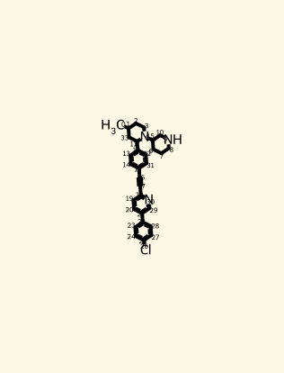 CC1CCN(C2CCCNC2)C(c2ccc(C#Cc3ccc(-c4ccc(Cl)cc4)cn3)cc2)C1